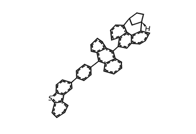 c1cc2c3c(c1)cc(-c1c4ccccc4c(-c4ccc(-c5ccc6sc7ccccc7c6c5)cc4)c4ccccc14)c1cccc(c13)C1CC[C@H]2C1